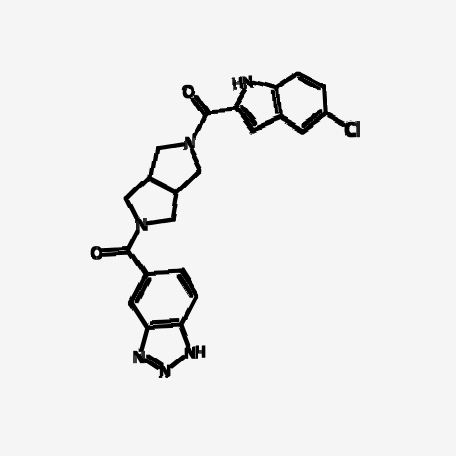 O=C(c1ccc2[nH]nnc2c1)N1CC2CN(C(=O)c3cc4cc(Cl)ccc4[nH]3)CC2C1